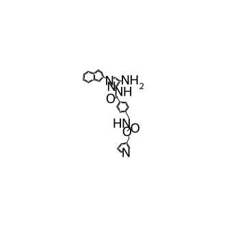 Nc1cn(-c2ccc3ccccc3c2)nc1NC(=O)c1ccc(CNC(=O)OCc2cccnc2)cc1